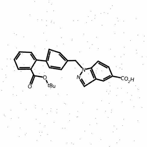 CC(C)(C)OC(=O)c1ccccc1-c1ccc(Cn2ncc3cc(C(=O)O)ccc32)cc1